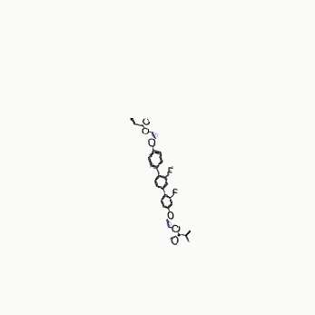 C=CC(=O)O/C=C\Oc1ccc(-c2ccc(-c3ccc(O/C=C\OC(=O)C(=C)C)cc3F)cc2F)cc1